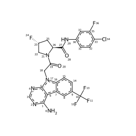 Nc1ncnc2c1c1cc(C(F)(F)F)ccc1n2CC(=O)N1C[C@H](F)C[C@H]1C(=O)Nc1ccc(Cl)c(F)c1